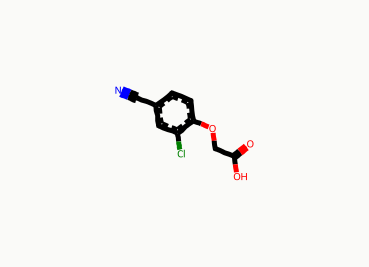 N#Cc1ccc(OCC(=O)O)c(Cl)c1